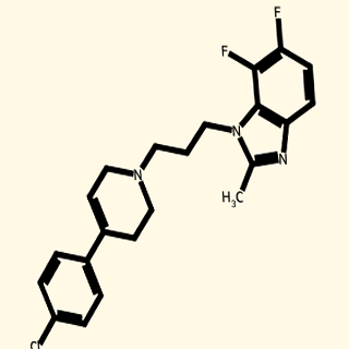 Cc1nc2ccc(F)c(F)c2n1CCCN1CC=C(c2ccc(Cl)cc2)CC1